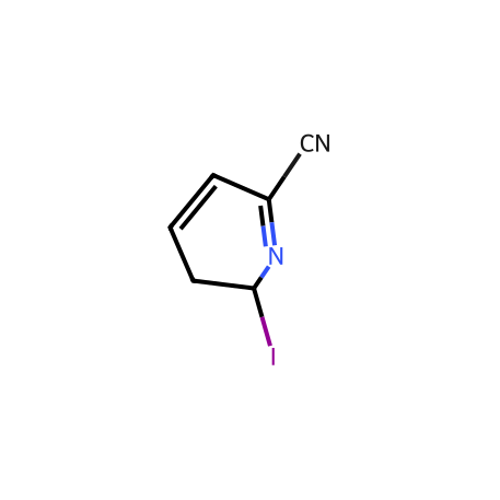 N#CC1=NC(I)CC=C1